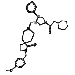 COc1ccc(CN2CCC3(CCN(C[C@H]4CN(C(=O)CC5CCCCC5)C[C@@H]4c4ccccc4)CC3)C2=O)cc1